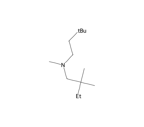 CCC(C)(C)CN(C)CCC(C)(C)C